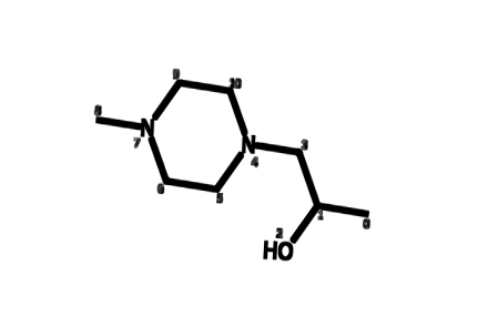 CC(O)CN1CCN(C)CC1